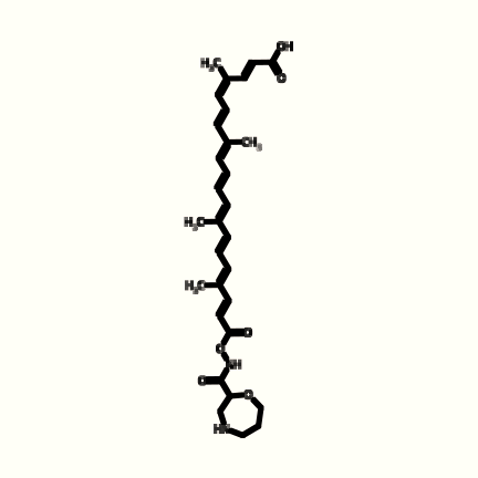 CC(=C/C=C/C(C)=C/C=C/C=C(C)/C=C/C=C(C)/C=C/C(=O)ONC(=O)C1CNCCCO1)/C=C/C(=O)O